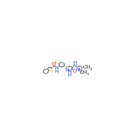 Cc1cc(Nc2cc(-c3ccc(F)c(NC(=O)c4cc5ccccc5s4)c3)n[nH]c2=O)nn1C